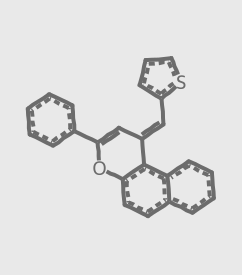 C1=C(c2ccccc2)Oc2ccc3ccccc3c2/C1=C/c1cccs1